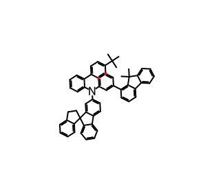 CC(C)(C)c1ccc(-c2ccccc2N(c2cccc(-c3cccc4c3C(C)(C)c3ccccc3-4)c2)c2ccc3c(c2)C2(CCc4ccccc42)c2ccccc2-3)cc1